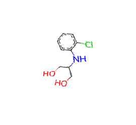 OCC(CO)Nc1ccccc1Cl